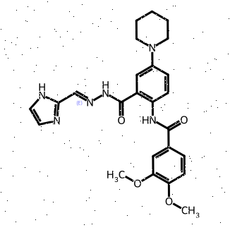 COc1ccc(C(=O)Nc2ccc(N3CCCCC3)cc2C(=O)N/N=C/c2ncc[nH]2)cc1OC